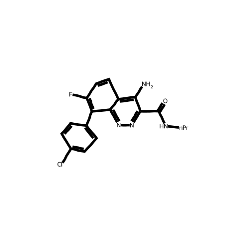 CCCNC(=O)c1nnc2c(-c3ccc(Cl)cc3)c(F)ccc2c1N